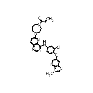 C=CC(=O)N1CCCN(c2ccc3ncnc(Nc4ccc(Oc5cnc6c(c5)ncn6C)c(Cl)c4)c3n2)CC1